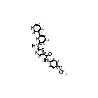 O=C(Nc1ccc(OC(F)(F)F)cc1)c1cnc(Nc2cccc(-c3cccnc3)n2)s1